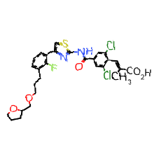 CC(=Cc1c(Cl)cc(C(=O)Nc2nc(-c3cccc(CCCOCC4CCCO4)c3F)cs2)cc1Cl)C(=O)O